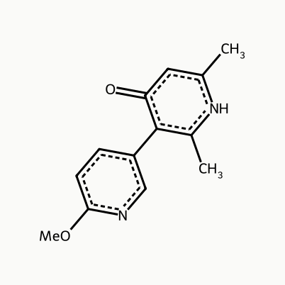 COc1ccc(-c2c(C)[nH]c(C)cc2=O)cn1